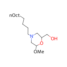 CCCCCCCCCCCCN1CC(CO)OC(OC)C1